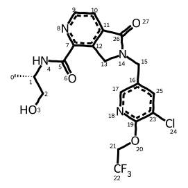 C[C@@H](CO)NC(=O)c1nccc2c1CN(Cc1cnc(OCC(F)(F)F)c(Cl)c1)C2=O